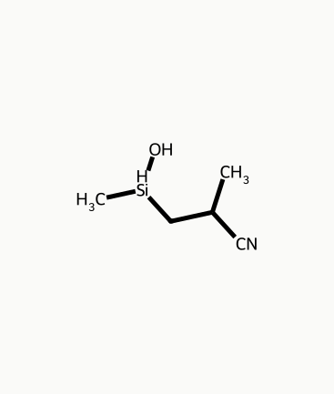 CC(C#N)C[SiH](C)O